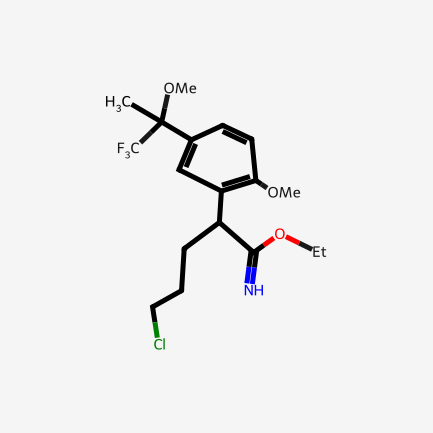 CCOC(=N)C(CCCCl)c1cc(C(C)(OC)C(F)(F)F)ccc1OC